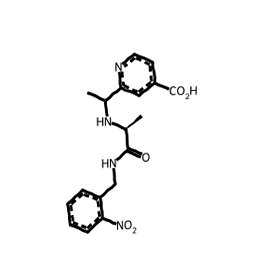 CC(N[C@@H](C)C(=O)NCc1ccccc1[N+](=O)[O-])c1cc(C(=O)O)ccn1